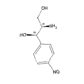 N[C@H](CO)[C@H](O)c1ccc(N=O)cc1